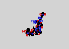 CC[C@H](C)[C@@H]([C@@H](CC(=O)N1CCC[C@H]1[C@H](OC)[C@@H](C)C(=O)N[C@H](C)[C@@H](O)c1ccccc1)OC)N(C)C(=O)C(NC(=O)[C@H](C(C)C)N(C)C(=O)CNC(=O)[C@H](CCCNC(N)=O)NC(=O)C(NC(=O)CCNCCNCCCN1C(=O)C=CC1=O)C(C)C)C(C)C